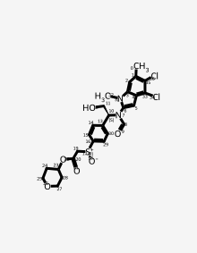 Cc1cc2c(cc(N(C=O)[C@H](CO)c3ccc([S@@+]([O-])CC(=O)OC4CCOCC4)cc3)n2C)c(Cl)c1Cl